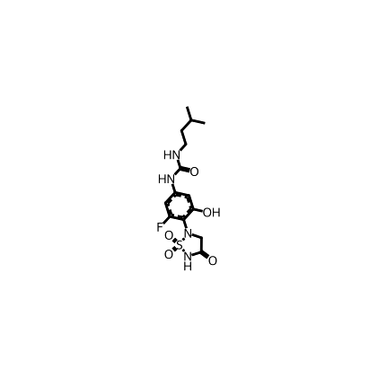 CC(C)CCNC(=O)Nc1cc(O)c(N2CC(=O)NS2(=O)=O)c(F)c1